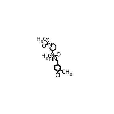 COC(=O)N1CCC[C@@H](N(C)C(=O)NCc2ccc(Cl)c(C)c2)C1